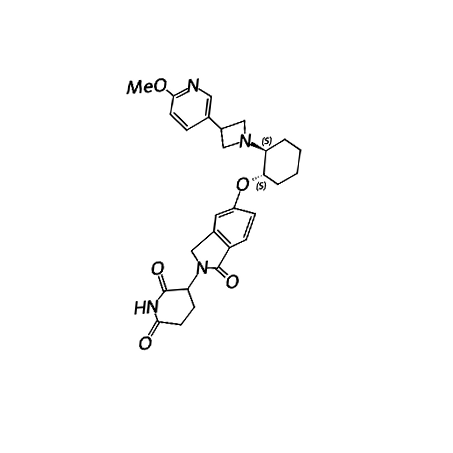 COc1ccc(C2CN([C@H]3CCCC[C@@H]3Oc3ccc4c(c3)CN(C3CCC(=O)NC3=O)C4=O)C2)cn1